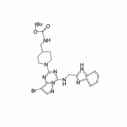 CC(C)(C)OC(=O)NCC1CCN(c2nc(NCc3nc4ccccc4[nH]3)n3ncc(Br)c3n2)CC1